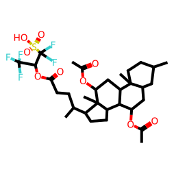 CC(=O)OC1CC2CC(C)CCC2(C)C2CC(OC(C)=O)C3(C)C(C(C)CCC(=O)OC(C(F)(F)F)C(F)(F)S(=O)(=O)O)CCC3C12